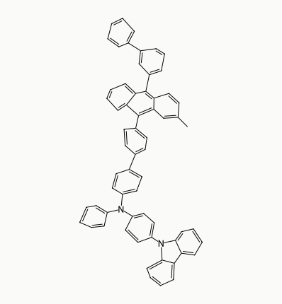 Cc1ccc2c(-c3cccc(-c4ccccc4)c3)c3ccccc3c(-c3ccc(-c4ccc(N(c5ccccc5)c5ccc(-n6c7ccccc7c7ccccc76)cc5)cc4)cc3)c2c1